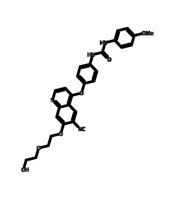 [C-]#[N+]c1cc2c(Oc3ccc(NC(=O)Nc4ccc(OC)cc4)cc3)ccnc2cc1OCCOCCO